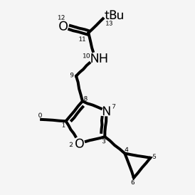 Cc1oc(C2CC2)nc1CNC(=O)C(C)(C)C